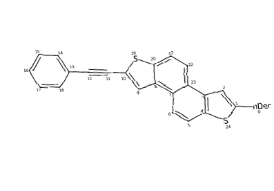 CCCCCCCCCCc1cc2c(ccc3c4cc(C#Cc5ccccc5)sc4ccc23)s1